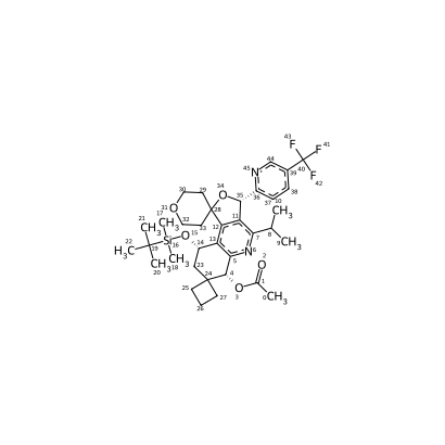 CC(=O)O[C@H]1c2nc(C(C)C)c3c(c2[C@@H](O[Si](C)(C)C(C)(C)C)CC12CCC2)C1(CCOCC1)O[C@@H]3c1ccc(C(F)(F)F)cn1